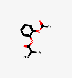 CCCCC(CCC)C(=O)Oc1ccccc1OC(=O)CC